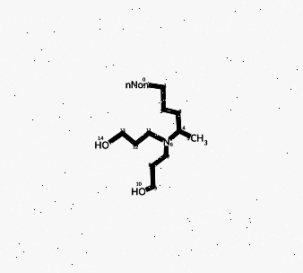 CCCCCCCCCCCCC(C)N(CCCO)CCCO